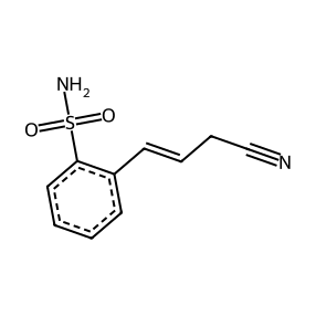 N#CCC=Cc1ccccc1S(N)(=O)=O